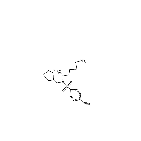 COc1ccc(S(=O)(=O)N(CC2CCCC2)[C@@H](CCCCN)C(=O)O)cc1